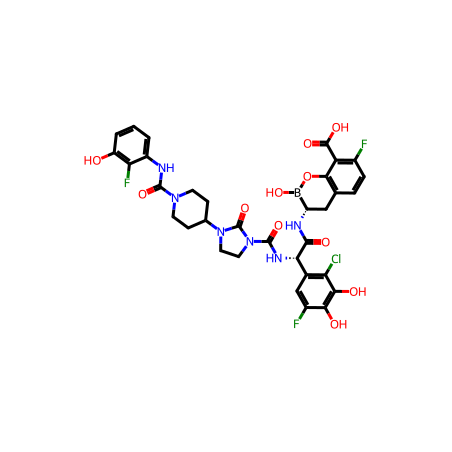 O=C(O)c1c(F)ccc2c1OB(O)[C@@H](NC(=O)[C@@H](NC(=O)N1CCN(C3CCN(C(=O)Nc4cccc(O)c4F)CC3)C1=O)c1cc(F)c(O)c(O)c1Cl)C2